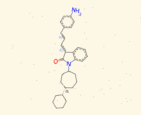 Nc1ccc(/C=C/C=C2/C(=O)N(C3CCC[C@H](C4CCCCC4)CC3)c3ccccc32)cc1